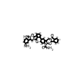 NC(=O)n1nc(CN2C(=O)c3ccccc3C2=O)c2cc(-c3cccc4c3C(=O)N(Cc3n[nH]c5ccc(N)cc35)C4=O)ccc21